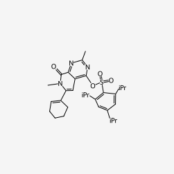 Cc1nc(OS(=O)(=O)c2c(C(C)C)cc(C(C)C)cc2C(C)C)c2cc(C3=CCCCC3)n(C)c(=O)c2n1